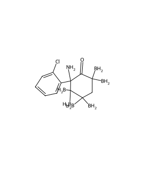 BC1(B)CC(B)(B)C(B)(B)C(N)(c2ccccc2Cl)C1=O